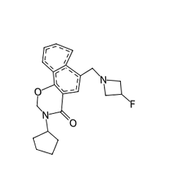 O=C1c2cc(CN3CC(F)C3)c3ccccc3c2OCN1C1CCCC1